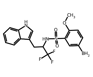 Bc1ccc(OC)c(S(=O)(=O)NC(Cc2c[nH]c3ccccc23)C(F)(F)F)c1